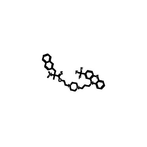 CN(C)C(C)(Cc1ccc2ccccc2c1)C(=S)OCCN1CCN(CCCN2c3ccccc3Sc3ccc(C(F)(F)F)cc32)CC1